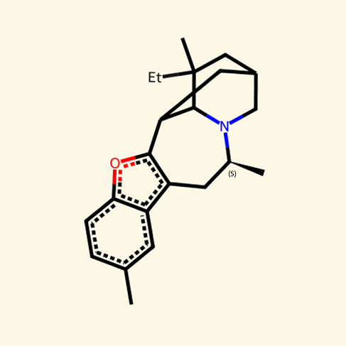 CCC1(C)CC2CC3c4oc5ccc(C)cc5c4C[C@H](C)N(C2)C31